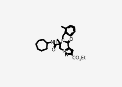 CCOC(=O)c1cc2n(n1)CC(C)(C(=O)NC1CCCCCC1)N(Cc1ccccc1C)C2=O